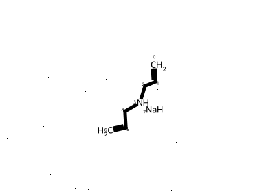 C=CCNCC=C.[NaH]